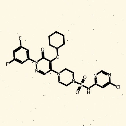 O=c1c(OC2CCCCC2)c(N2CCN(S(=O)(=O)Nc3cc(Cl)ncn3)CC2)cnn1-c1cc(F)cc(F)c1